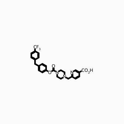 O=C(O)c1ccc(CN2CCN(C(=O)Oc3ccc(Cc4ccc(C(F)(F)F)cc4)cc3)CC2)nc1